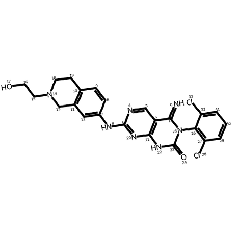 N=c1c2cnc(Nc3ccc4c(c3)CN(CCO)CC4)nc2[nH]c(=O)n1-c1c(Cl)cccc1Cl